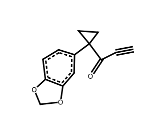 C#CC(=O)C1(c2ccc3c(c2)OCO3)CC1